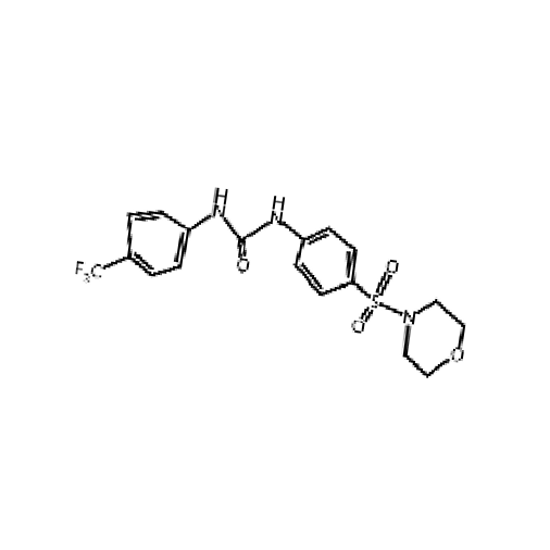 O=C(Nc1ccc(C(F)(F)F)cc1)Nc1ccc(S(=O)(=O)N2CCOCC2)cc1